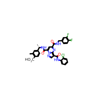 Cc1cc([C@H](C)NC(=O)c2cc(C(=O)NCc3ccc(F)c(F)c3)nc3c(C(=O)Nc4ccccc4Cl)cnn23)ccc1C(=O)O